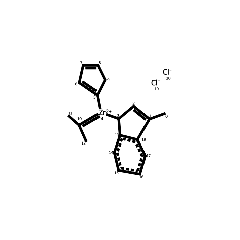 CC1=C[CH]([Zr+2]([C]2=CC=CC2)=[C](C)C)c2ccccc21.[Cl-].[Cl-]